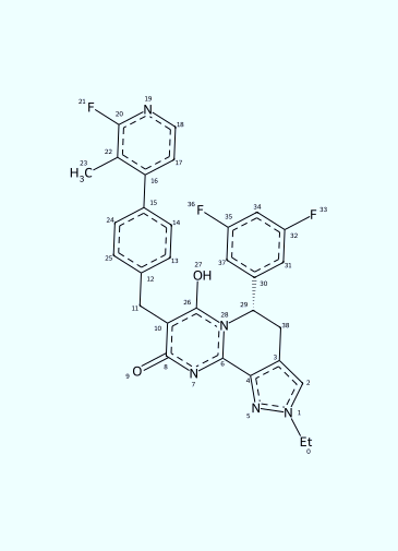 CCn1cc2c(n1)-c1nc(=O)c(Cc3ccc(-c4ccnc(F)c4C)cc3)c(O)n1[C@H](c1cc(F)cc(F)c1)C2